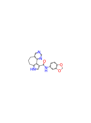 O=C(Nc1ccc2c(c1)OCO2)c1c[nH]c2c1-c1ncncc1CCC2